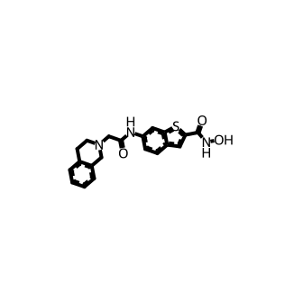 O=C(CN1CCc2ccccc2C1)Nc1ccc2cc(C(=O)NO)sc2c1